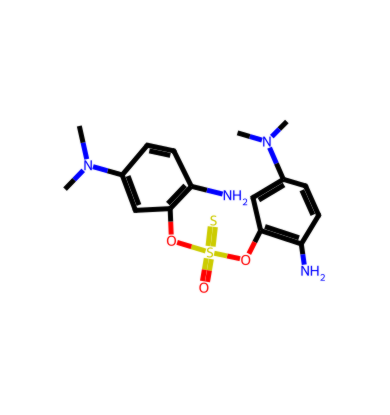 CN(C)c1ccc(N)c(OS(=O)(=S)Oc2cc(N(C)C)ccc2N)c1